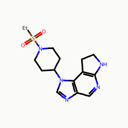 CCS(=O)(=O)N1CCC(n2cnc3cnc4c(c32)CCN4)CC1